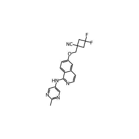 Cc1ncc(Nc2nccc3cc(OCC4(C#N)CC(F)(F)C4)ccc23)cn1